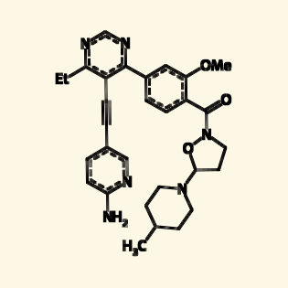 CCc1ncnc(-c2ccc(C(=O)N3CCC(N4CCC(C)CC4)O3)c(OC)c2)c1C#Cc1ccc(N)nc1